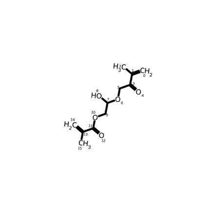 C=C(C)C(=O)COC(O)COC(=O)C(=C)C